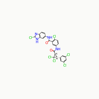 O=C(Nc1ccc2nc(Cl)[nH]c2c1)c1cc(NC(=O)[C@H]2[C@H](c3cc(Cl)cc(Cl)c3)C2(Cl)Cl)ccc1Cl